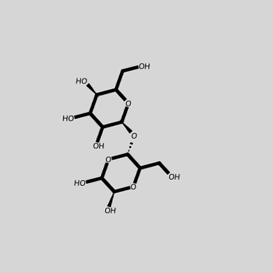 OCC1O[C@@H](O)C(O)O[C@@H]1O[C@@H]1OC(CO)[C@H](O)C(O)C1O